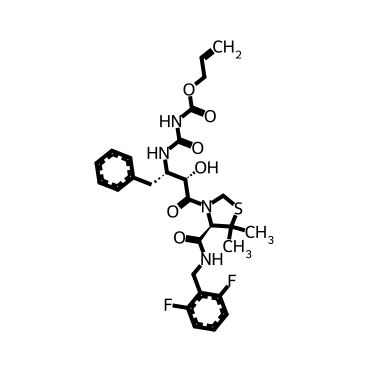 C=CCOC(=O)NC(=O)N[C@@H](Cc1ccccc1)[C@H](O)C(=O)N1CSC(C)(C)[C@H]1C(=O)NCc1c(F)cccc1F